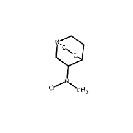 CN(Cl)C1CN2CCC1CC2